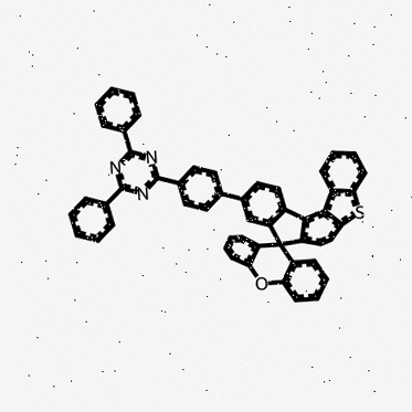 c1ccc(-c2nc(-c3ccccc3)nc(-c3ccc(-c4ccc5c(c4)C4(c6ccccc6Oc6ccccc64)c4ccc6sc7ccccc7c6c4-5)cc3)n2)cc1